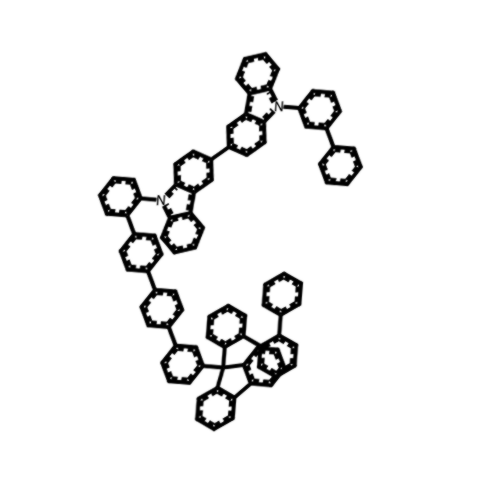 c1ccc(-c2cccc(-n3c4ccccc4c4cc(-c5ccc6c(c5)c5ccccc5n6-c5ccccc5-c5ccc(-c6ccc(-c7cccc(C8(c9ccccc9-c9ccccc9-c9ccccc9)c9ccccc9-c9ccccc98)c7)cc6)cc5)ccc43)c2)cc1